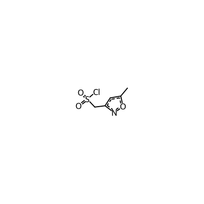 Cc1cc(CS(=O)(=O)Cl)no1